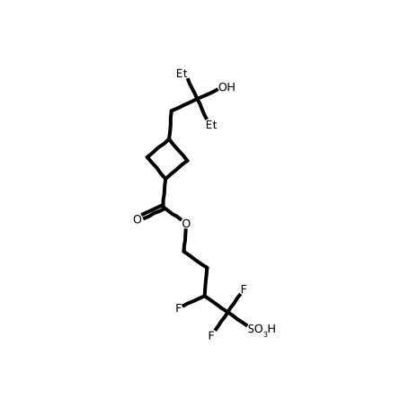 CCC(O)(CC)CC1CC(C(=O)OCCC(F)C(F)(F)S(=O)(=O)O)C1